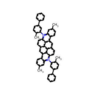 Cc1ccc2c3cc4ccc5c6c(cc7ccc(c3c7c46)n(-c3cc(-c4ccccc4)ccc3C)c2c1)c1ccc(C)cc1n5-c1cc(-c2ccccc2)ccc1C